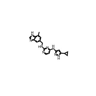 Cc1cc(CNc2nccc(Nc3cc(C4CC4)[nH]n3)n2)cc2nc[nH]c12